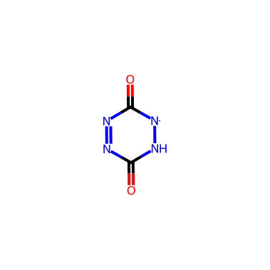 O=C1[N]NC(=O)N=N1